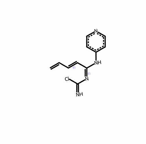 C=C/C=C/C(=N\C(=N)Cl)Nc1ccncc1